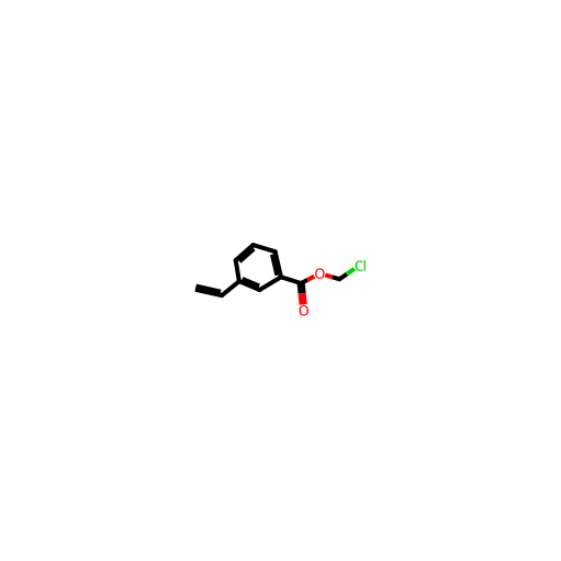 C=Cc1cccc(C(=O)OCCl)c1